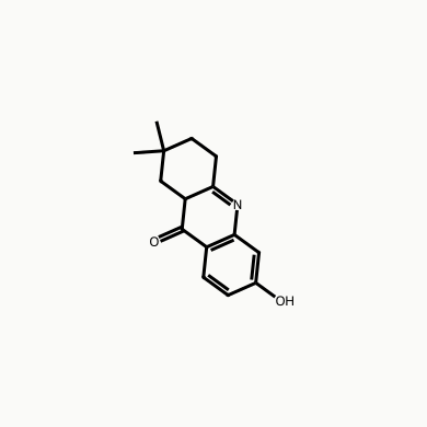 CC1(C)CCC2=Nc3cc(O)ccc3C(=O)C2C1